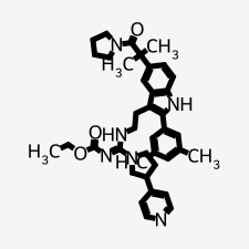 CCOC(=O)/N=C(\NCCc1c(-c2cc(C)cc(C)c2)[nH]c2ccc(C(C)(C)C(=O)N3CCCC3)cc12)N1CCC(c2ccncc2)C1